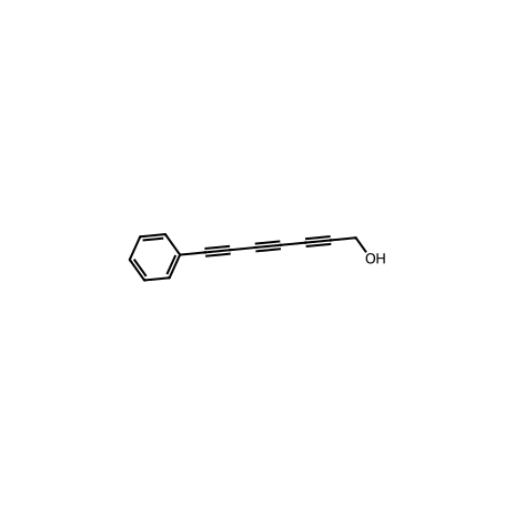 OCC#CC#CC#Cc1ccccc1